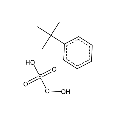 CC(C)(C)c1ccccc1.O=S(=O)(O)OO